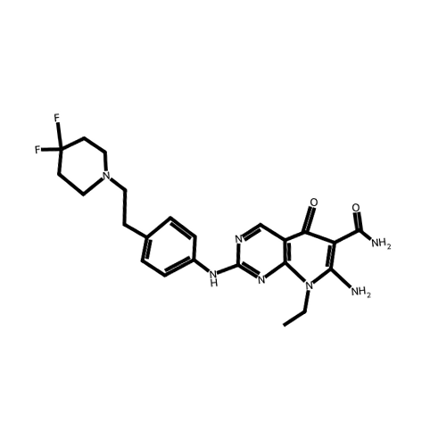 CCn1c(N)c(C(N)=O)c(=O)c2cnc(Nc3ccc(CCN4CCC(F)(F)CC4)cc3)nc21